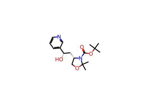 CC(C)(C)OC(=O)N1[C@@H](C[C@H](O)c2cccnc2)COC1(C)C